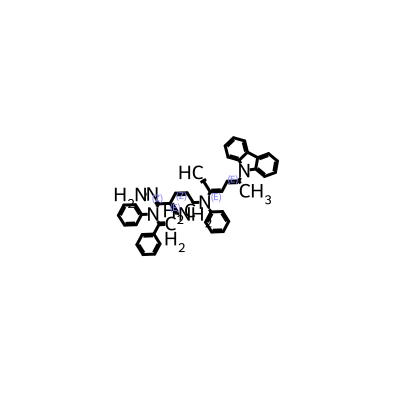 C#C/C(=C\C=C(/C)n1c2ccccc2c2ccccc21)N(C(=C)\C=C/C(=C\N)C(=N/N)/N(C(=C)c1ccccc1)c1ccccc1)c1ccccc1